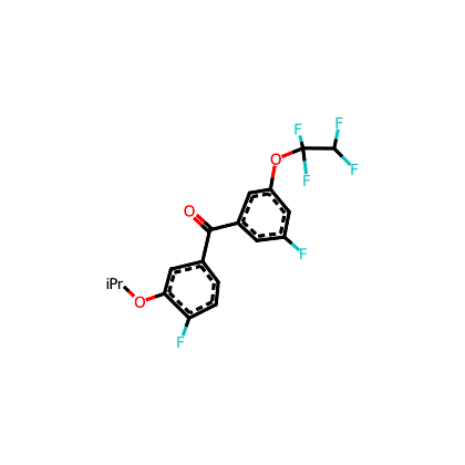 CC(C)Oc1cc(C(=O)c2cc(F)cc(OC(F)(F)C(F)F)c2)ccc1F